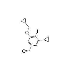 O=Cc1cc(OCC2CC2)c(I)c(C2CC2)c1